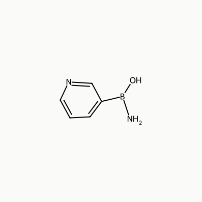 NB(O)c1cccnc1